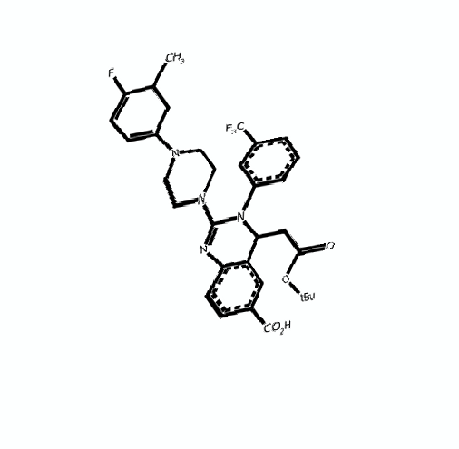 CC1CC(N2CCN(C3=Nc4ccc(C(=O)O)cc4C(CC(=O)OC(C)(C)C)N3c3cccc(C(F)(F)F)c3)CC2)=CC=C1F